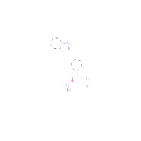 CC(C)(O)C(=O)N1C2CCC1CN(Cc1ccc(Oc3nc4ccccc4s3)cc1)C2